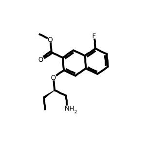 CC[C@H](CN)Oc1cc2cccc(F)c2cc1C(=O)OC